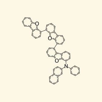 c1ccc(N(c2ccc3ccccc3c2)c2cccc3c2oc2cccc(-c4cccc5c4oc4c(-c6cccc7c6oc6ccccc67)cccc45)c23)cc1